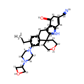 CCc1cc2c(cc1N1CCN(C3COC3)CC1)C1(CCOCC1)c1[nH]c3c(c1C2)C(=O)CC(C#N)=C3